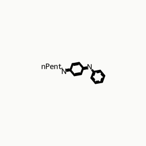 CCCCCN=C1C=CC(=Nc2ccccc2)C=C1